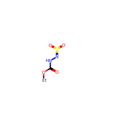 CCOC(=O)NN=S(=O)=O